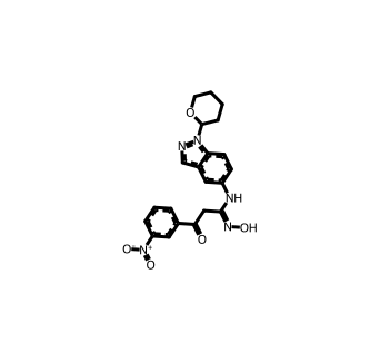 O=C(C/C(=N/O)Nc1ccc2c(cnn2C2CCCCO2)c1)c1cccc([N+](=O)[O-])c1